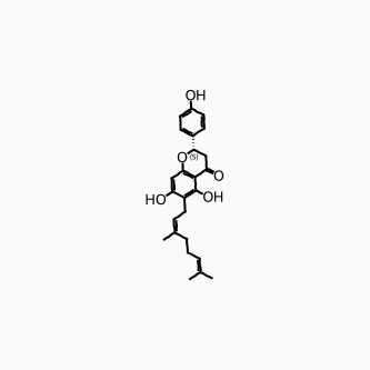 CC(C)=CCCC(C)=CCc1c(O)cc2c(c1O)C(=O)C[C@@H](c1ccc(O)cc1)O2